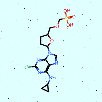 O=P(O)(O)COCC1CCC(n2cnc3c(NC4CC4)nc(Cl)nc32)O1